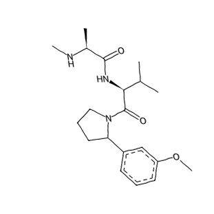 CN[C@@H](C)C(=O)N[C@H](C(=O)N1CCCC1c1cccc(OC)c1)C(C)C